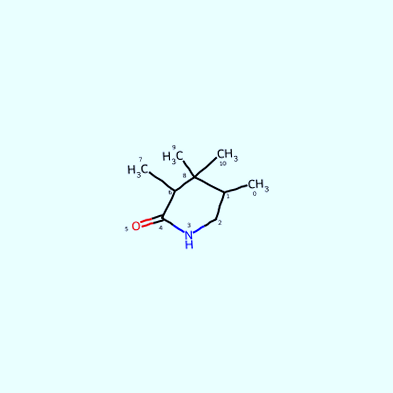 CC1CNC(=O)C(C)C1(C)C